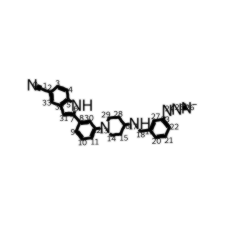 N#Cc1ccc2[nH]c(-c3cccc(N4CCC(NCc5cccc(N=[N+]=[N-])c5)CC4)c3)cc2c1